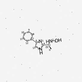 C[C@H](NO)c1nc(-c2ccccc2)c[nH]1